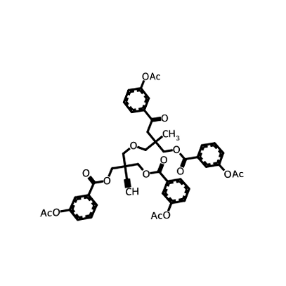 C#CC(COCC(C)(COC(=O)c1cccc(OC(C)=O)c1)CC(=O)c1cccc(OC(C)=O)c1)(COC(=O)c1cccc(OC(C)=O)c1)COC(=O)c1cccc(OC(C)=O)c1